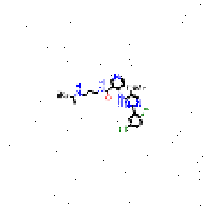 C=C(NCCCNC(=O)c1cnccc1Nc1nc(-c2cc(Cl)ccc2F)ncc1OC)C(C)CC